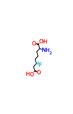 NC(CCCC([18F])CC(=O)O)C(=O)O